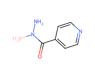 BN(N)C(=O)c1ccncc1